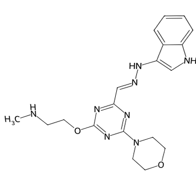 CNCCOc1nc(C=NNc2c[nH]c3ccccc23)nc(N2CCOCC2)n1